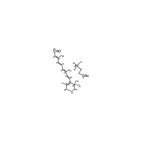 CC(=O)OCC[N+](C)(C)C.CC1=C(/C=C/C(C)=C/C=C/C(C)=C/C=O)C(C)(C)CCC1